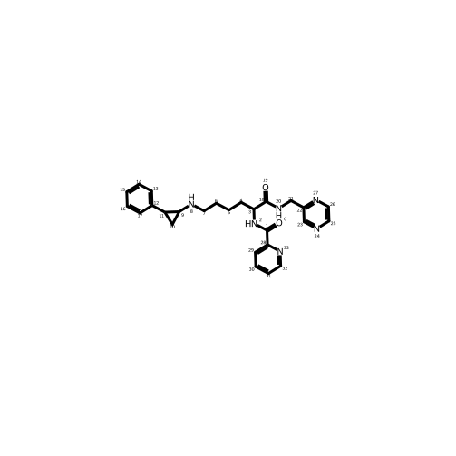 O=C(NC(CCCCNC1CC1c1ccccc1)C(=O)NCc1cnccn1)c1ccccn1